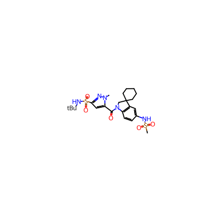 Cn1nc(S(=O)(=O)NC(C)(C)C)cc1C(=O)N1CC2(CCCCC2)c2cc(NS(C)(=O)=O)ccc21